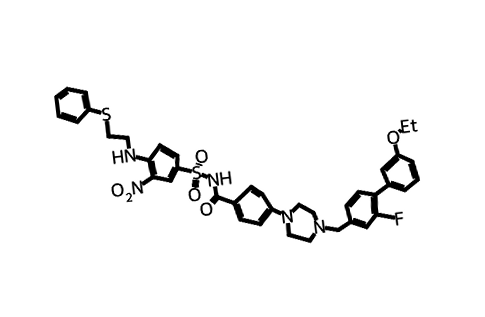 CCOc1cccc(-c2ccc(CN3CCN(c4ccc(C(=O)NS(=O)(=O)c5ccc(NCCSc6ccccc6)c([N+](=O)[O-])c5)cc4)CC3)cc2F)c1